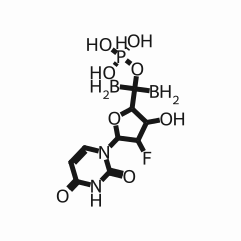 BC(B)(O[PH](O)(O)O)C1OC(n2ccc(=O)[nH]c2=O)C(F)C1O